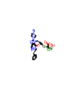 CC#CCn1c(N2CCNCC2)nc2cnn(CCc3ccccc3)c(=O)c21.O=C(O)C(F)(F)F